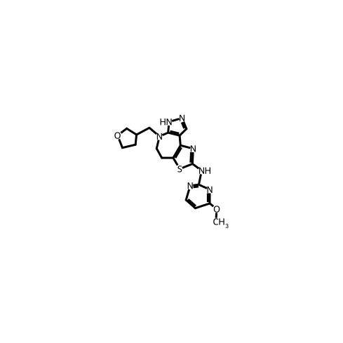 COc1ccnc(Nc2nc3c(s2)CCN(CC2CCOC2)c2[nH]ncc2-3)n1